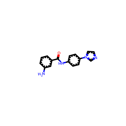 Nc1cccc(C(=O)Nc2ccc(-n3ccnc3)cc2)c1